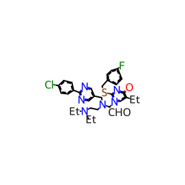 CCc1cn(C(C=O)N(CCN(CC)CC)Cc2cnc(-c3ccc(Cl)cc3)nc2)c(SCc2ccc(F)cc2)nc1=O